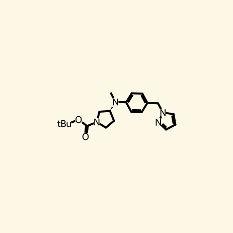 CN(c1ccc(Cn2cccn2)cc1)[C@@H]1CCN(C(=O)OC(C)(C)C)C1